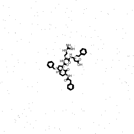 N=C(N)NCC[C@H](NC(=O)[C@@H]1C[C@@H](Cc2ccccc2)[C@@H]2CCC(NC(=O)Cc3ccccc3)C(=O)N12)C(=O)N[C@H](CCc1ccccc1)CC(=O)O